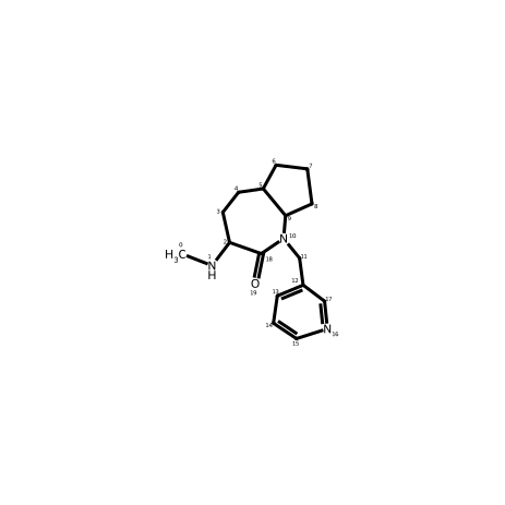 CNC1CCC2CCCC2N(Cc2cccnc2)C1=O